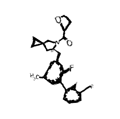 Cc1cc(C[C@H]2CC3(CC3)CN2C(=O)C2CCO2)c(F)c(-c2cccc(F)c2)c1